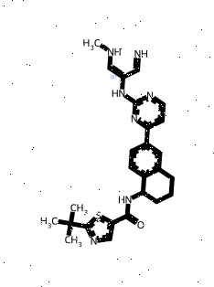 CN/C=C(\C=N)Nc1nccc(-c2ccc3c(c2)CCCC3NC(=O)c2cnc(C(C)(C)C)s2)n1